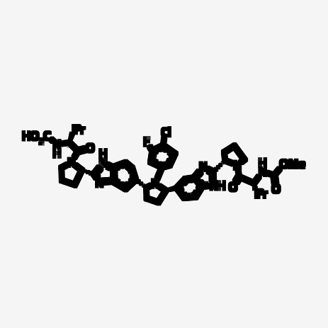 COC(=O)N[C@H](C(=O)N1CCC[C@H]1c1nc2cc([C@H]3CC[C@H](c4ccc5[nH]c([C@@H]6CCCN6C(=O)[C@@H](NC(=O)O)C(C)C)nc5c4)N3c3ccc(Cl)c(F)c3)ccc2[nH]1)C(C)C